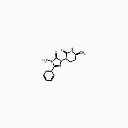 C=C1CCC(n2nc(-c3ccccc3)n(C)c2=O)C(=O)N1